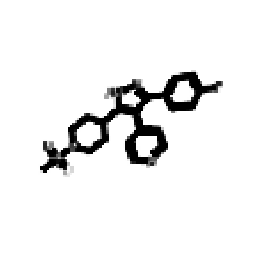 CS(=O)(=O)N1CCC(c2[nH]nc(-c3ccc(F)cc3)c2-c2ccncc2)CC1